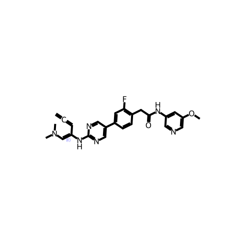 C=C=C/C(=C\N(C)C)Nc1ncc(-c2ccc(CC(=O)Nc3cncc(OC)c3)c(F)c2)cn1